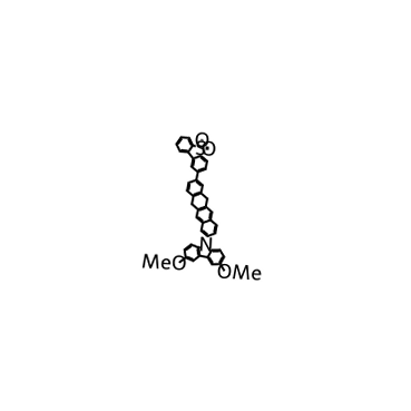 COc1ccc2c(c1)c1cc(OC)ccc1n2-c1ccc2cc3c(cc2c1)Cc1ccc(-c2ccc4c(c2)-c2ccccc2S4(=O)=O)cc1C3